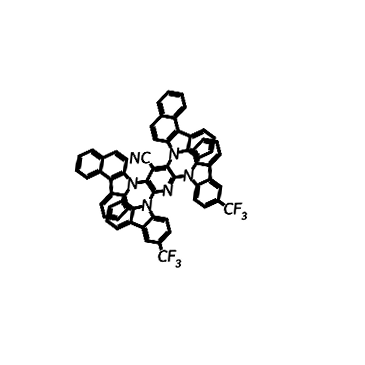 N#Cc1c(-n2c3ccccc3c3c4ccccc4ccc32)c(-n2c3ccccc3c3cc(C(F)(F)F)ccc32)nc(-n2c3ccccc3c3cc(C(F)(F)F)ccc32)c1-n1c2ccccc2c2c3ccccc3ccc21